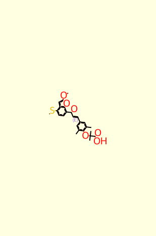 COc1cc2c(SC)ccc(C(=O)/C=C/c3cc(C)c(OC(C)(C)C(=O)O)c(C)c3)c2o1